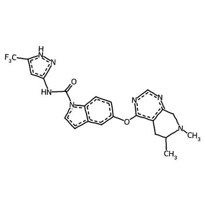 CC1Cc2c(ncnc2Oc2ccc3c(ccn3C(=O)Nc3cc(C(F)(F)F)[nH]n3)c2)CN1C